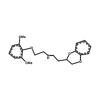 COc1cccc(OC)c1OCCNCCC1COc2ccccc2O1